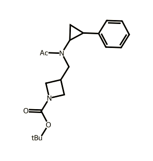 CC(=O)N(CC1CN(C(=O)OC(C)(C)C)C1)C1CC1c1ccccc1